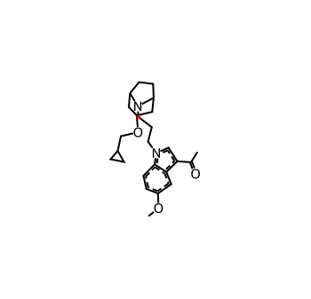 COc1ccc2c(c1)c(C(C)=O)cn2CCCN1C2CCC1CC(OCC1CC1)C2